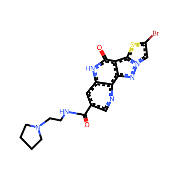 O=C(NCCN1CCCC1)c1cnc2c(c1)[nH]c(=O)c1c2nn2cc(Br)sc12